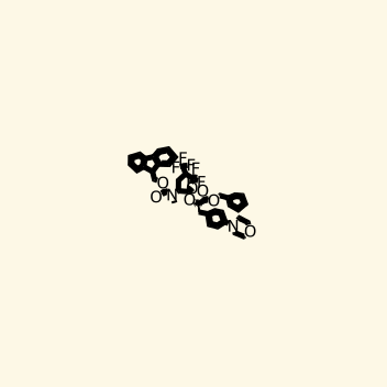 CN(C(=O)OCC1c2ccccc2-c2ccccc21)C(CC(C(F)(F)F)C(F)(F)F)C(=O)O[C@H](Cc1ccc(N2CCOCC2)cc1)C(=O)OCc1ccccc1